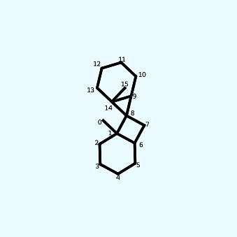 CC12CCCCC1CC21C2CCCCC21C